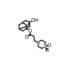 O=C(CCN1CCS(=O)(=O)CC1)OC12CC3CC(CC(O)(C3)C1)C2